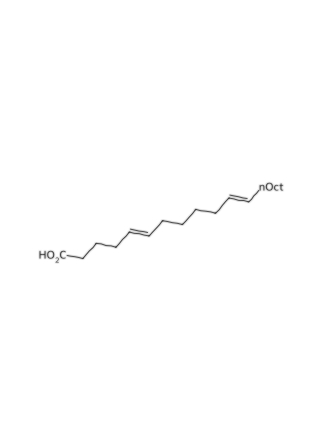 CCCCCCCCC=CCCCCC=CCCCC(=O)O